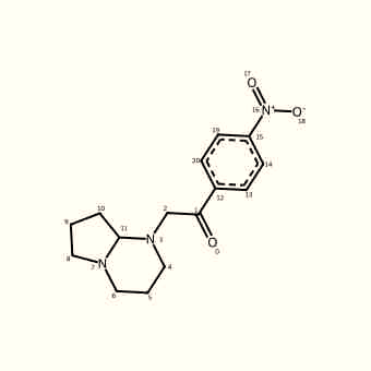 O=C(CN1CCCN2CCCC21)c1ccc([N+](=O)[O-])cc1